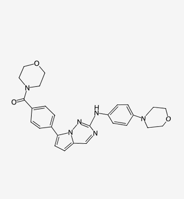 O=C(c1ccc(-c2ccc3cnc(Nc4ccc(N5CCOCC5)cc4)nn23)cc1)N1CCOCC1